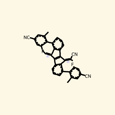 C/C=C1C2=C(/C(=C(/C)C#N)c3c2cccc3-c2c(C)cc(C#N)cc2F)c2cccc(-c3c(C)cc(C#N)cc3F)c2/1